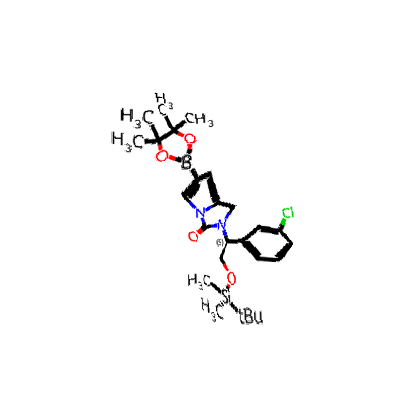 CC1(C)OB(c2cc3n(c2)C(=O)N([C@H](CO[Si](C)(C)C(C)(C)C)c2cccc(Cl)c2)C3)OC1(C)C